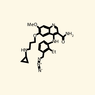 CCc1c(CN=[N+]=[N-])cccc1Nc1c(C(N)=O)cnc2cc(OC)c(OCCCNC3CC3)cc12